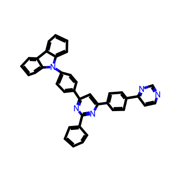 c1ccc(-c2nc(-c3ccc(-c4ccncn4)cc3)cc(-c3ccc(-n4c5ccccc5c5ccccc54)cc3)n2)cc1